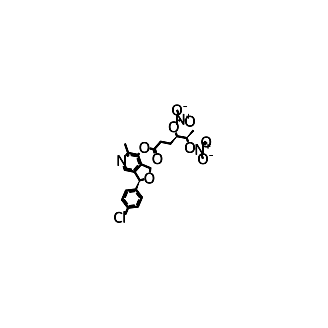 Cc1ncc2c(c1OC(=O)CC[C@@H](O[N+](=O)[O-])[C@@H](C)O[N+](=O)[O-])CO[C@H]2c1ccc(Cl)cc1